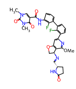 COc1nc(-c2cccc(-c3cccc(NC(=O)c4cn(C)c(=O)n(C)c4=O)c3F)c2F)cc2c1[C@@H](/N=C/[C@@H]1CCC(=O)N1)CO2